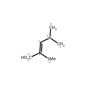 CS/C(=C\N(C)C)C(=O)O